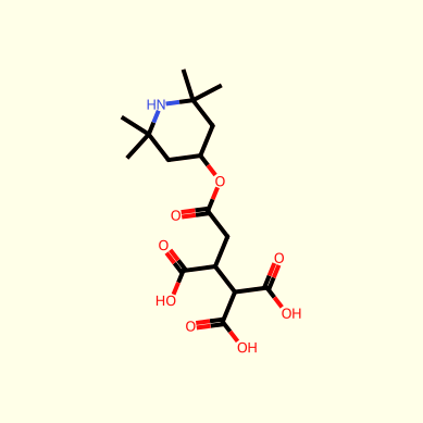 CC1(C)CC(OC(=O)CC(C(=O)O)C(C(=O)O)C(=O)O)CC(C)(C)N1